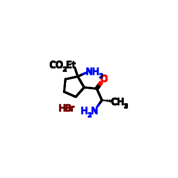 Br.CCOC(=O)C1(N)CCCC1C(=O)[C@H](C)N